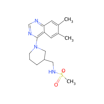 Cc1cc2ncnc(N3CCCC(CNS(C)(=O)=O)C3)c2cc1C